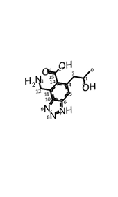 CC(O)Cc1cc2[nH]nnc2c(CN)c1C(=O)O